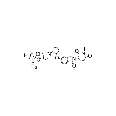 CC(C)(C)OC1CCN([C@H]2CCC[C@@H]2Oc2ccc3c(c2)CN(C2CCC(=O)NC2=O)C3=O)CC1